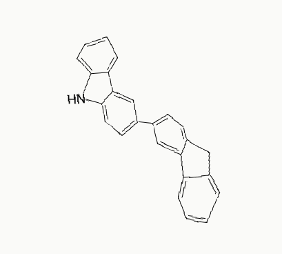 c1ccc2c(c1)Cc1ccc(-c3ccc4[nH]c5ccccc5c4c3)cc1-2